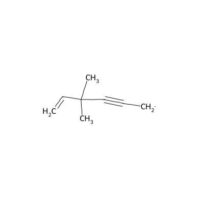 [CH2]C#CC(C)(C)C=C